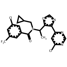 CC(c1ocnc1-c1cc(Cl)ncn1)N(CC1CC1)C(=O)c1cc(Cl)cc(C(F)(F)F)c1